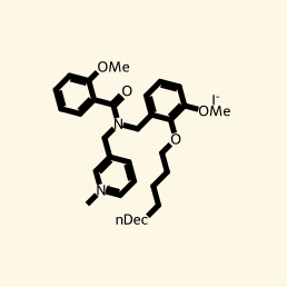 CCCCCCCCCCCCCCOc1c(CN(Cc2ccc[n+](C)c2)C(=O)c2ccccc2OC)cccc1OC.[I-]